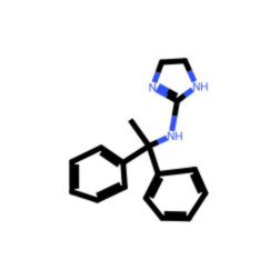 CC(NC1=NCCN1)(c1ccccc1)c1ccccc1